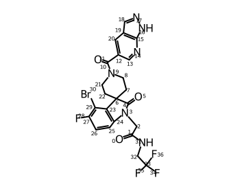 O=C(CN1C(=O)C2(CCN(C(=O)c3cnc4[nH]ncc4c3)CC2)c2c1ccc(F)c2Br)NCC(F)(F)F